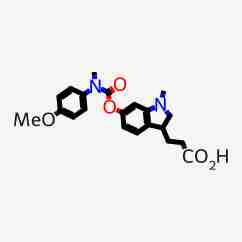 COc1ccc(N(C)C(=O)Oc2ccc3c(c2)N(C)CC3CCC(=O)O)cc1